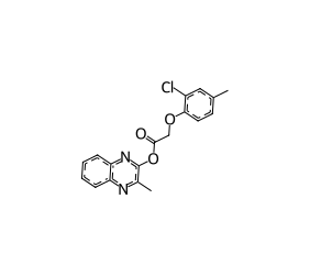 Cc1ccc(OCC(=O)Oc2nc3ccccc3nc2C)c(Cl)c1